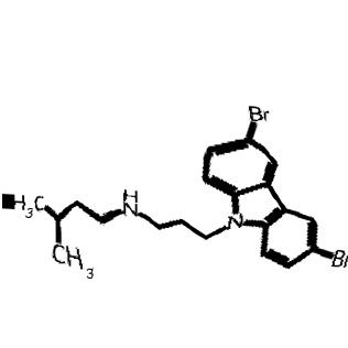 CC(C)CCNCCCn1c2ccc(Br)cc2c2cc(Br)ccc21